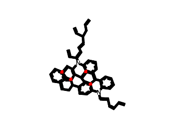 C=C/C=C\C=C\N(c1ccc(C2C=c3ccccc3=CC2)cc1)c1ccccc1C1=CC=C(C2=C(N(/C(C=C)=C/C=C/C(C=C)CC=C)c3ccccc3)C=CCC2)CC1